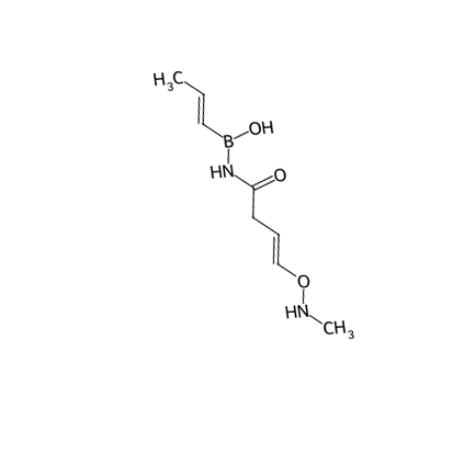 C/C=C/B(O)NC(=O)C/C=C/ONC